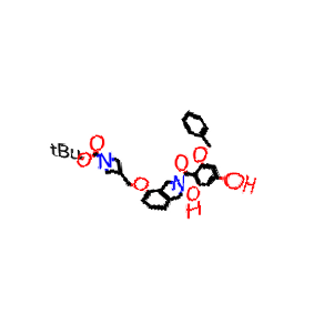 CC(C)(C)OC(=O)N1CC(COc2cccc3c2CN(C(=O)c2c(O)cc(O)cc2OCc2ccccc2)C3)C1